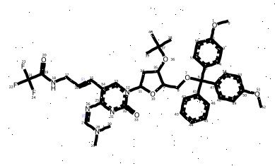 COc1ccc(C(OCC2OC(n3cc(/C=C/CNC(=O)C(F)(F)F)c(/N=C\N(C)C)nc3=O)CC2OC(C)(C)C)(c2ccccc2)c2ccc(OC)cc2)cc1